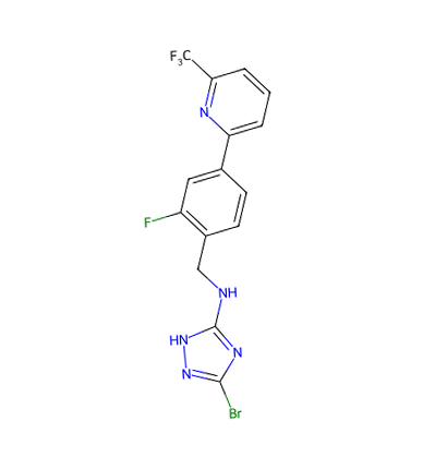 Fc1cc(-c2cccc(C(F)(F)F)n2)ccc1CNc1nc(Br)n[nH]1